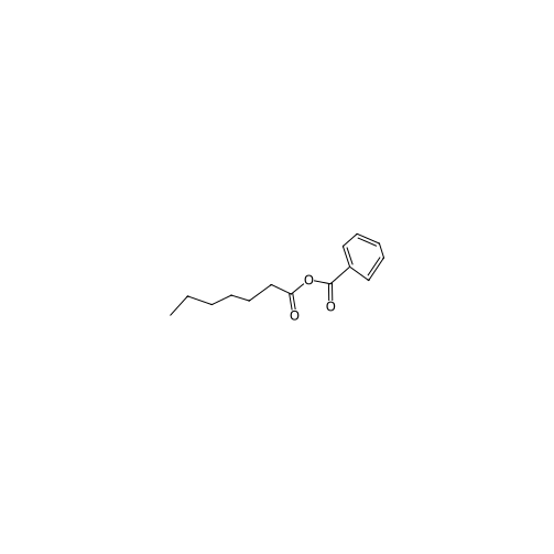 CCCCCCC(=O)OC(=O)c1ccccc1